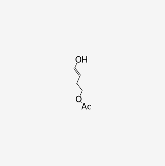 CC(=O)OCCC=CO